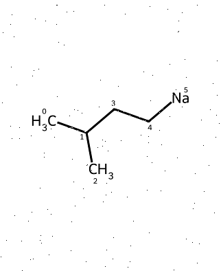 CC(C)C[CH2][Na]